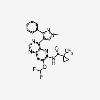 Cn1cc(-c2ncnc3cc(OC(F)F)c(NC(=O)C4(C(F)(F)F)CC4)nc23)c(-c2ccccc2)n1